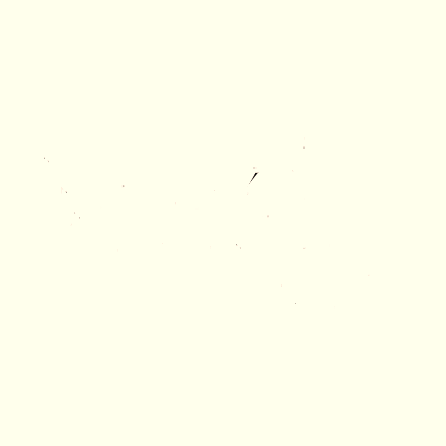 C#Cc1ccc(CN2C[C@H](CC(=O)O)C[C@@H](c3ccc(N=[N+]=[N-])cc3)C2)cc1